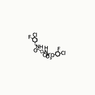 CC1(NC(=O)COc2ccc(Cl)c(F)c2)CC(C(=O)NCc2ccc(Cl)c(F)c2)C1